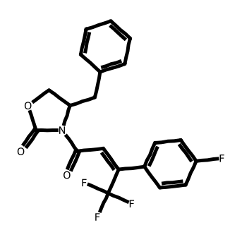 O=C(C=C(c1ccc(F)cc1)C(F)(F)F)N1C(=O)OCC1Cc1ccccc1